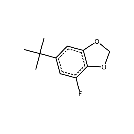 CC(C)(C)c1cc(F)c2c(c1)OCO2